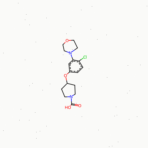 O=C(O)N1CCC(Oc2ccc(Cl)c(N3CCOCC3)c2)CC1